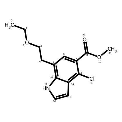 CCOCCc1cc(C(=O)OC)c(Cl)c2cc[nH]c12